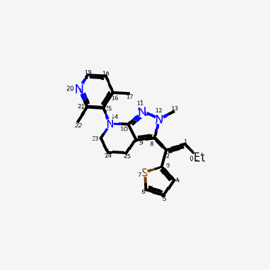 CC/C=C(\c1cccs1)c1c2c(nn1C)N(c1c(C)ccnc1C)CCC2